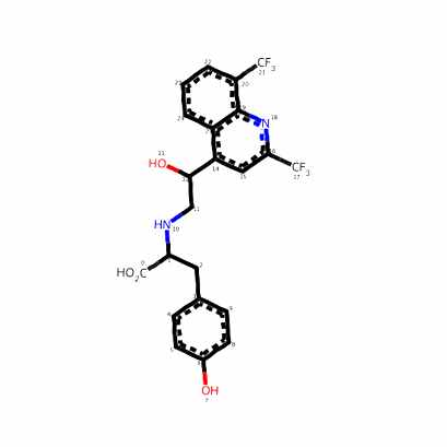 O=C(O)C(Cc1ccc(O)cc1)NCC(O)c1cc(C(F)(F)F)nc2c(C(F)(F)F)cccc12